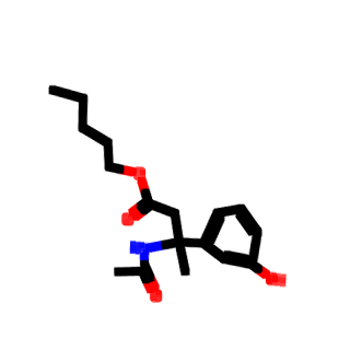 CCCCCOC(=O)CC(C)(NC(C)=O)c1cccc(O)c1